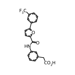 O=C(O)Cc1cccc(NC(=O)c2ccc(-c3cccc(C(F)(F)F)c3)o2)c1